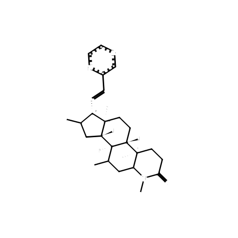 CC1CC2N(C)C(=O)CC[C@]2(C)[C@H]2CC[C@]3(C)[C@@H](C=Cc4cnccn4)C(C)C[C@H]3[C@H]12